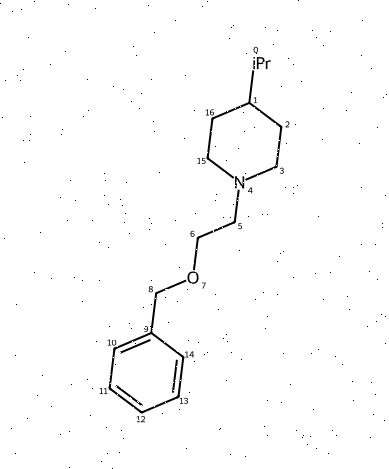 CC(C)C1CCN(CCOCc2ccccc2)CC1